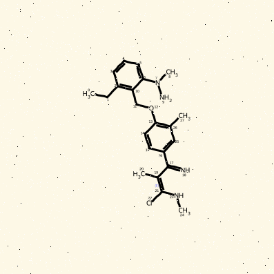 CCc1cccc(N(C)N)c1COc1ccc(C(=N)/C(C)=C(/Cl)NC)cc1C